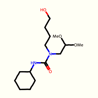 COC(CN(CCCCO)C(=O)NC1CCCCC1)OC